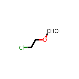 O=[C]OCCCl